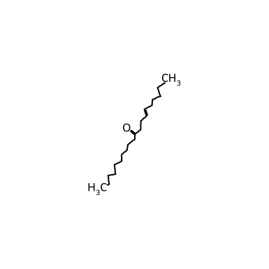 CCCCCCC=CCCC(=O)CCCCCCCCCC